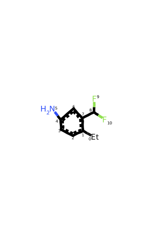 CCc1ccc(N)cc1C(F)F